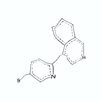 Brc1ccc(-c2cncc3ccccc23)nc1